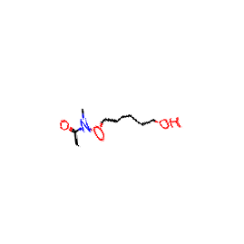 CC(=O)N(C)OCCCCCO